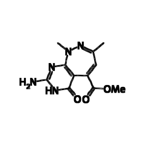 COC(=O)C1=CC(C)=NN(C)c2nc(N)[nH]c(=O)c21